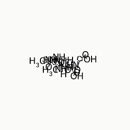 CCC(N)C(=O)C(CC[C@H](NC)C(=O)NCC(=O)N[C@@H](CC(=O)O)C(=O)NCc1cccc(C(=O)O)c1)NC(=N)N